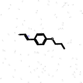 [CH2]/C=C/c1ccc(OCCC)cc1